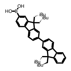 CC[C@H](C)CC1(C[C@@H](C)CC)c2ccccc2-c2ccc(-c3ccc4c(c3)C(C[C@@H](C)CC)(C[C@@H](C)CC)c3cc(B(O)O)ccc3-4)cc21